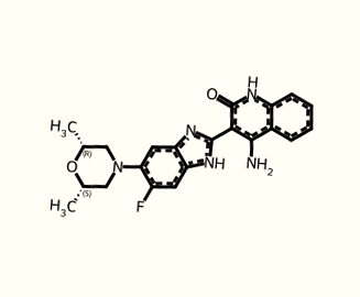 C[C@@H]1CN(c2cc3nc(-c4c(N)c5ccccc5[nH]c4=O)[nH]c3cc2F)C[C@H](C)O1